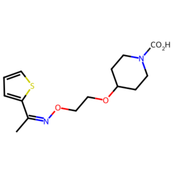 CC(=NOCCOC1CCN(C(=O)O)CC1)c1cccs1